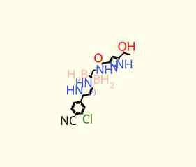 BC(B)(CNC(=O)c1cc(C(C)O)[nH]n1)N/C=C\C(=N)c1ccc(C#N)c(Cl)c1